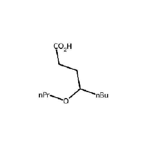 CCCCC(CCC(=O)O)OCCC